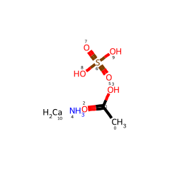 CC(=O)O.N.O=S(=O)(O)O.[CaH2]